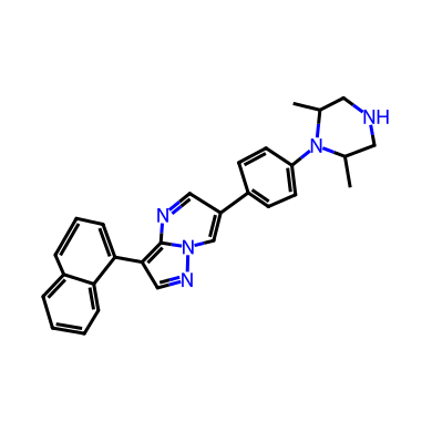 CC1CNCC(C)N1c1ccc(-c2cnc3c(-c4cccc5ccccc45)cnn3c2)cc1